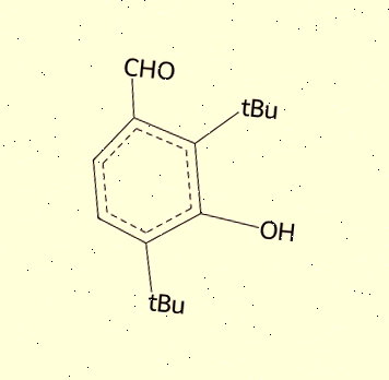 CC(C)(C)c1ccc(C=O)c(C(C)(C)C)c1O